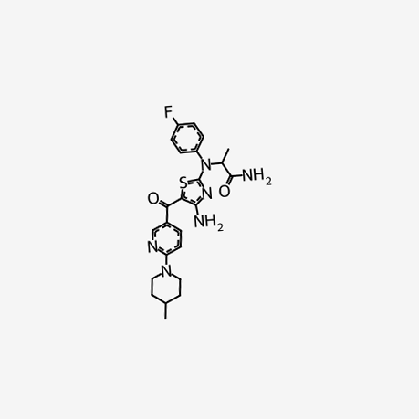 CC1CCN(c2ccc(C(=O)c3sc(N(c4ccc(F)cc4)C(C)C(N)=O)nc3N)cn2)CC1